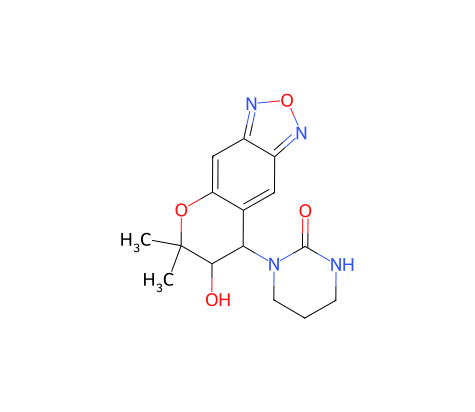 CC1(C)Oc2cc3nonc3cc2C(N2CCCNC2=O)C1O